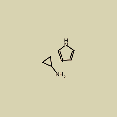 NC1CC1.c1c[nH]cn1